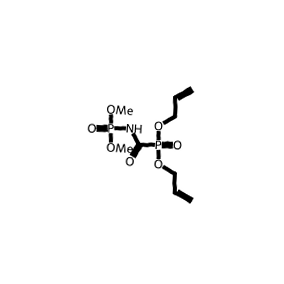 C=CCOP(=O)(OCC=C)C(=O)NP(=O)(OC)OC